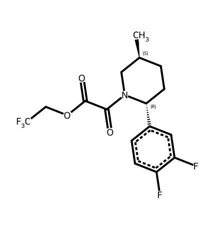 C[C@H]1CC[C@H](c2ccc(F)c(F)c2)N(C(=O)C(=O)OCC(F)(F)F)C1